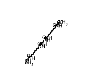 COCCNC(=O)CCCCCCCCCCNC(=O)NCCCNC(=O)NCCCCCCCCCCC(=O)NCCOC